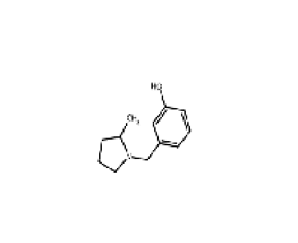 CC1CCCN1Cc1cccc(O)c1